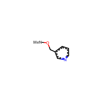 CNOCc1cccnc1